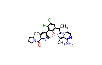 Cc1nc(C(C)c2cc(Cl)c(F)c(-c3ccc(C(=O)N4CCC[C@@H]4C(=O)O)nc3)c2OC(C)C)n2ccnc(N)c12